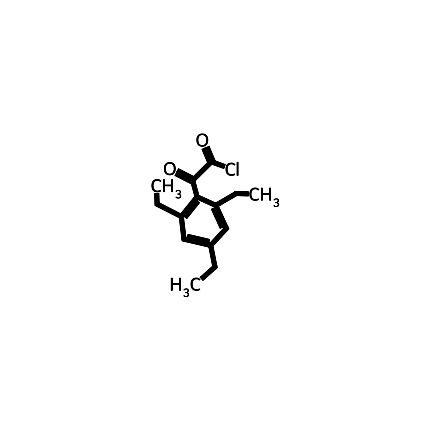 CCc1cc(CC)c(C(=O)C(=O)Cl)c(CC)c1